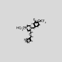 O=C(O)N1CCN(Cc2ccc(OC(F)(F)F)c(F)c2)[C@@H](COCc2cnn[nH]2)C1